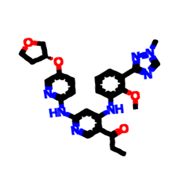 CCC(=O)c1cnc(Nc2ccc(O[C@@H]3CCOC3)cn2)cc1Nc1cccc(-c2ncn(C)n2)c1OC